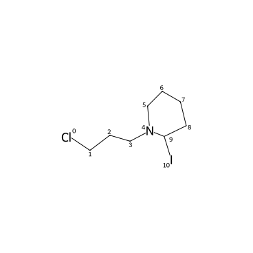 ClCCCN1CCCCC1I